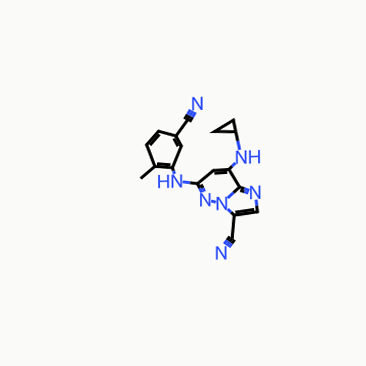 Cc1ccc(C#N)cc1Nc1cc(NC2CC2)c2ncc(C#N)n2n1